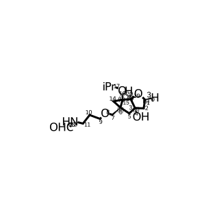 [3H][C@H]1C[C@@]2(O)C[C@]3(COCCCNC=O)C[C@]3(OC(C)C)[C@H]2O1